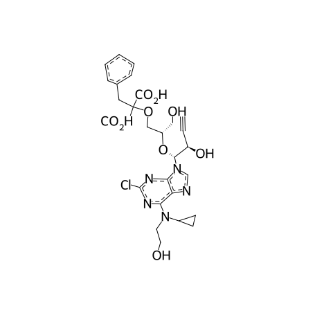 C#C[C@@H](O)[C@@H](O[C@@H](CO)COC(Cc1ccccc1)(C(=O)O)C(=O)O)n1cnc2c(N(CCO)C3CC3)nc(Cl)nc21